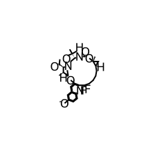 COc1ccc2nc3c(cc2c1)O[C@H]1CN(C(=O)[C@H](C(C)(C)C)NC(=O)O[C@]2(C)C[C@H]2CCCCC3(F)F)[C@H](C(C)=O)[C@@H]1C